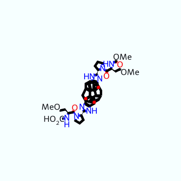 COCC[C@H](NC(=O)O)C(=O)N1CCC[C@H]1c1nc2cc(-c3cc4ccc3CCc3ccc(c(-c5ccc6[nH]c([C@@H]7CCCN7C(=O)[C@H](CCOC)NC(=O)OC)nc6c5)c3)CC4)ccc2[nH]1